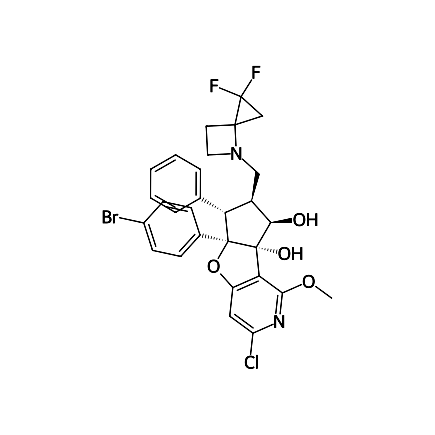 COc1nc(Cl)cc2c1[C@]1(O)[C@H](O)[C@H](CN3CCC34CC4(F)F)[C@@H](c3ccccc3)[C@]1(c1ccc(Br)cc1)O2